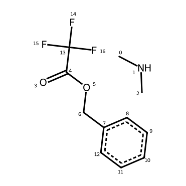 CNC.O=C(OCc1ccccc1)C(F)(F)F